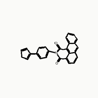 O=C1c2cccc3cc4ccccc4c(c23)C(=O)N1c1ccc(C2=CCC=C2)cc1